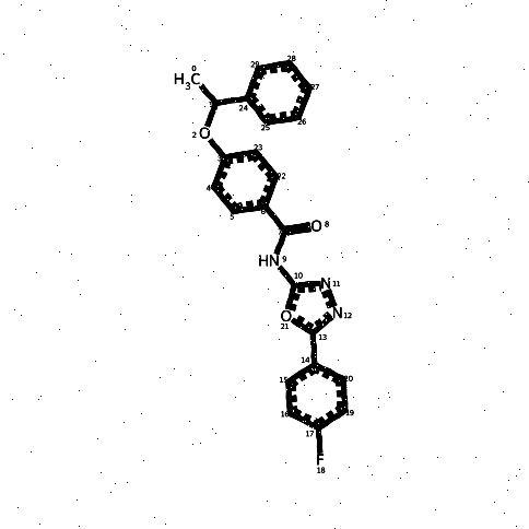 CC(Oc1ccc(C(=O)Nc2nnc(-c3ccc(F)cc3)o2)cc1)c1ccccc1